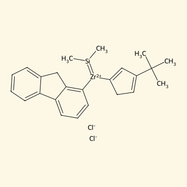 C[Si](C)=[Zr+2]([C]1=CC(C(C)(C)C)=CC1)[c]1cccc2c1Cc1ccccc1-2.[Cl-].[Cl-]